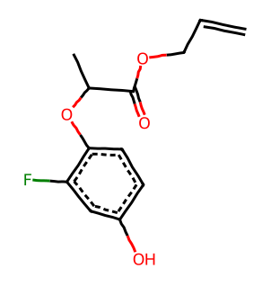 C=CCOC(=O)C(C)Oc1ccc(O)cc1F